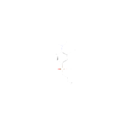 COCCS(=O)(=O)c1ccc(N(C)C(C)=O)c(F)c1